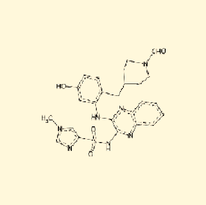 Cn1cnc(S(=O)(=O)Nc2nc3ccccc3nc2Nc2cc(O)ccc2CC2CCN(C=O)CC2)c1